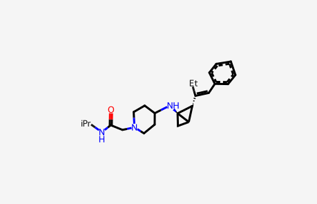 CC/C(=C\c1ccccc1)[C@@H]1C2C[C@@]21NC1CCN(CC(=O)NC(C)C)CC1